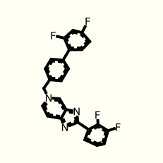 Fc1ccc(-c2ccc(Cn3ccc4nc(-c5cccc(F)c5F)nc-4c3)cc2)c(F)c1